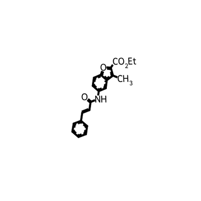 CCOC(=O)c1oc2ccc(NC(=O)/C=C/c3ccccc3)cc2c1C